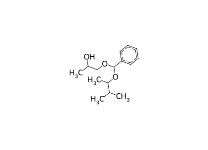 CC(O)COC(OC(C)C(C)C)c1ccccc1